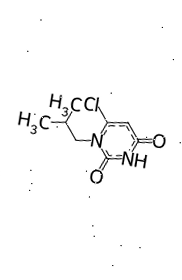 CC(C)Cn1c(Cl)cc(=O)[nH]c1=O